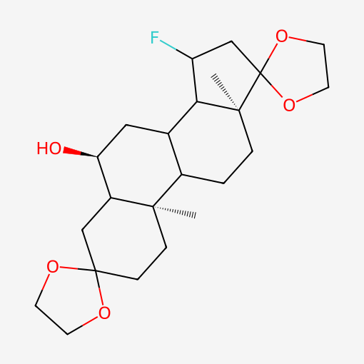 C[C@]12CCC3(CC1[C@@H](O)CC1C2CC[C@@]2(C)C1C(F)CC21OCCO1)OCCO3